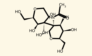 CC(=O)N[C@@]1([C@]2(O)[C@@H](O)CO[C@H](CO)[C@@H]2O)[C@@H](O)O[C@H](CO)[C@H](O)[C@@H]1O